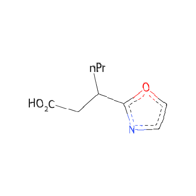 CCCC(CC(=O)O)c1ncco1